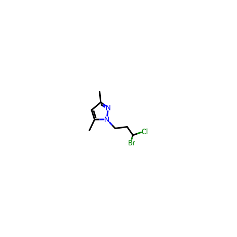 Cc1cc(C)n(CCC(Cl)Br)n1